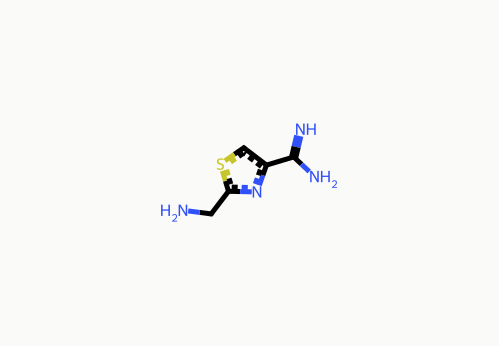 N=C(N)c1csc(CN)n1